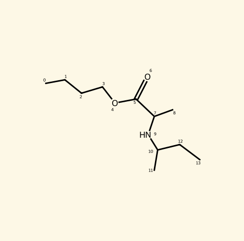 CCCCOC(=O)C(C)NC(C)CC